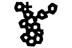 CC1(C)c2ccccc2-c2ccc(N(c3ccc(-c4ccccc4)cc3)c3cc4sc5ccc6ccc7cccc8c7c6c5c4c4c3c3ccccc3n84)cc21